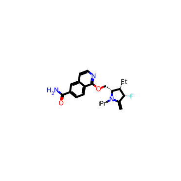 C=C1[C@@H](F)[C@@H](CC)[C@@H](COc2nccc3cc(C(N)=O)ccc23)N1C(C)C